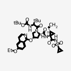 C=C[C@@H]1C[C@]1(NC(=O)[C@@H]1C[C@@H](Oc2nccc3cc(OCC)ccc23)CN1C(=O)C(NC(=O)OC(C)(C)C)C(C)(C)C)C(=O)NS(=O)(=O)C1CC1